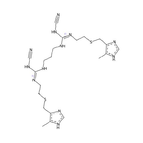 Cc1[nH]cnc1CSCC/N=C(/NC#N)NCCCN/C(=N\CCSCc1nc[nH]c1C)NC#N